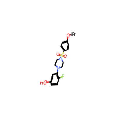 CC(C)Oc1ccc(S(=O)(=O)N2CCN(c3cc(O)ccc3F)CC2)cc1